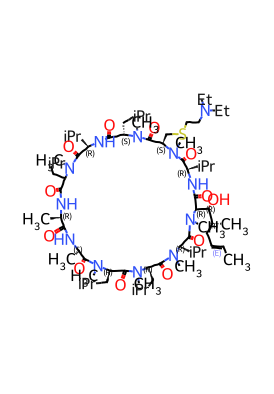 C/C=C/C[C@@H](C)[C@@H](O)[C@@H]1C(=O)N[C@H](C(C)C)C(=O)N(C)[C@H](CSCCN(CC)CC)C(=O)N(C)[C@@H](CC(C)C)C(=O)N[C@H](C(C)C)C(=O)N(C)C(CC(C)C)C(=O)N[C@H](C)C(=O)N[C@@H](C)C(=O)N(C)[C@H](CC(C)C)C(=O)N(C)[C@H](CC(C)C)C(=O)N(C)[C@H](C(C)C)C(=O)N1C